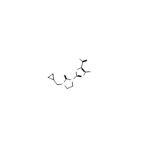 CC(=O)c1sc(N2CCN(CC3CC3)C2=O)nc1C